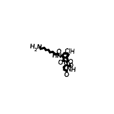 Cl.NCCCCCCCC(=O)Nc1cccc2c1C(=O)N(C1CCC(=O)NC1=O)C2=O